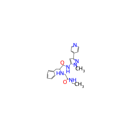 CCNC(=O)CNC(Cc1ccccc1)C(=O)Nc1cc(-c2ccncc2)nn1C